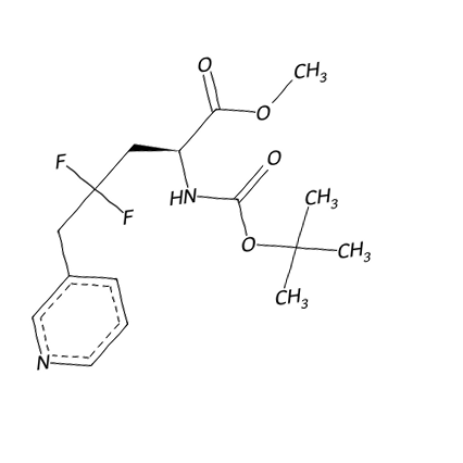 COC(=O)[C@H](CC(F)(F)Cc1cccnc1)NC(=O)OC(C)(C)C